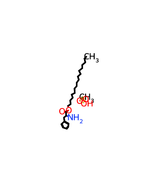 CCCCCCCCCCCCCCCCCCOC(=O)C(N)Cc1ccccc1.CS(=O)(=O)O